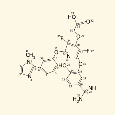 Cn1ccnc1-c1cccc(Oc2nc(Oc3cc(C(=N)N)ccc3O)c(F)c(OCC(=O)O)c2F)c1